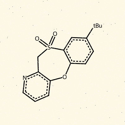 CC(C)(C)c1ccc2c(c1)S(=O)(=O)Cc1ncccc1O2